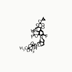 CC(C)(C)OC(=O)NCC12CN(c3c(F)cc4c(=O)c(OC(=O)OC5CC5)c[nH]c4c3OC(F)F)CC1CCO2